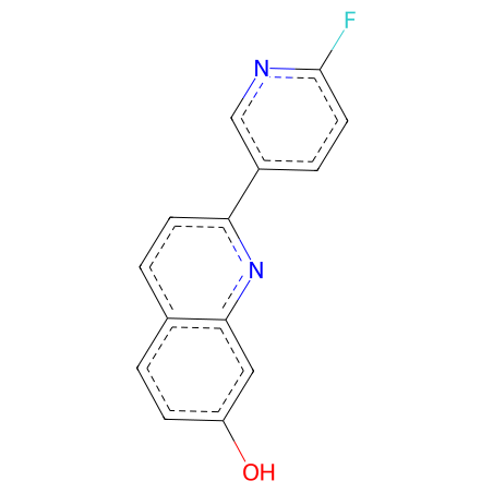 Oc1ccc2ccc(-c3ccc(F)nc3)nc2c1